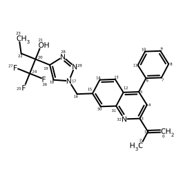 C=C(C)c1cc(-c2ccccc2)c2ccc(Cn3cc(C(O)(CC)C(F)(F)F)nn3)cc2n1